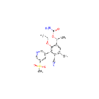 CCOc1c(C(C)OC(N)=O)cc(C)c(C#N)c1-c1cncc(S(C)(=O)=O)c1